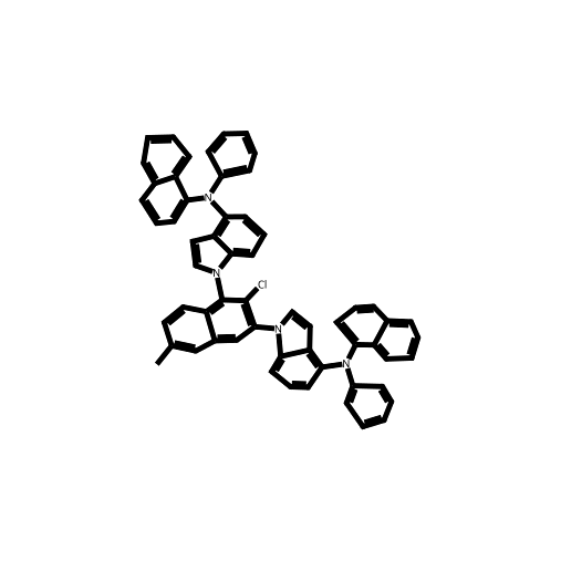 Cc1ccc2c(-n3ccc4c(N(c5ccccc5)c5cccc6ccccc56)cccc43)c(Cl)c(-n3ccc4c(N(c5ccccc5)c5cccc6ccccc56)cccc43)cc2c1